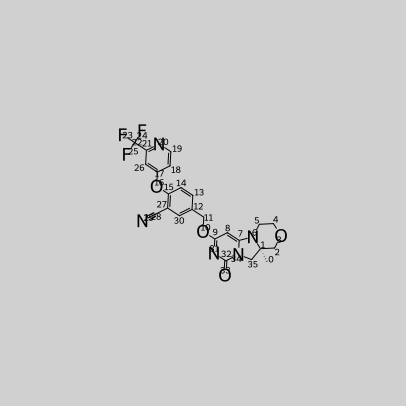 C[C@@]12COCCN1c1cc(OCc3ccc(Oc4ccnc(C(F)(F)F)c4)c(C#N)c3)nc(=O)n1C2